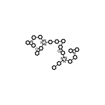 c1ccc(-c2ccc(-c3nc(-c4cccc(-c5cccc(-n6c7ccccc7c7ccccc76)c5)c4)nc(-c4ccc5c(c4)oc4ccc(-c6ccccc6-c6ccc(-c7ccc(-c8nc(-c9cccc(-c%10cccc(-n%11c%12ccccc%12c%12ccccc%12%11)c%10)c9)nc(-c9ccc%10c(c9)oc9ccccc9%10)n8)cc7)cc6)cc45)n3)cc2)cc1